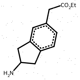 CCOC(=O)Cc1ccc2c(c1)CC(N)C2